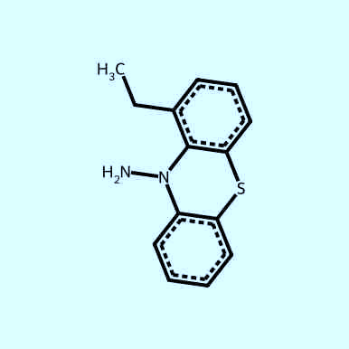 CCc1cccc2c1N(N)c1ccccc1S2